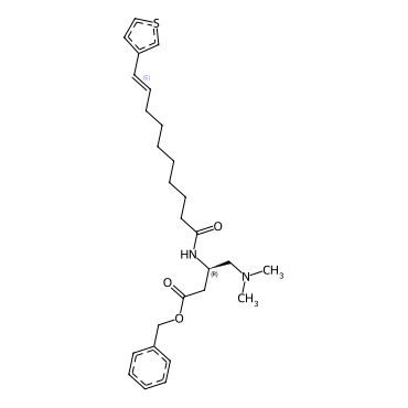 CN(C)C[C@@H](CC(=O)OCc1ccccc1)NC(=O)CCCCCCC/C=C/c1ccsc1